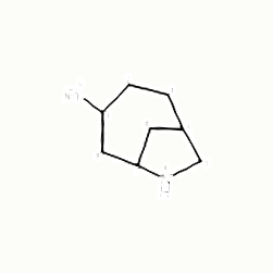 CC(C)C1CCC2CNC(C2)C1